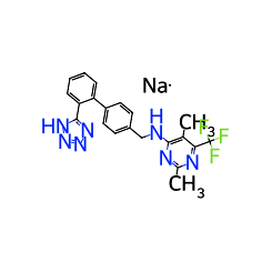 Cc1nc(NCc2ccc(-c3ccccc3-c3nnn[nH]3)cc2)c(C)c(C(F)(F)F)n1.[Na]